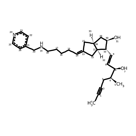 CC#CC[C@H](C)[C@H](O)C=C[C@@H]1[C@H]2C/C(=C/CCCCNCc3ccncc3)C[C@H]2C[C@H]1O